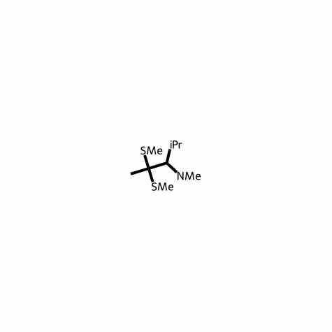 CNC(C(C)C)C(C)(SC)SC